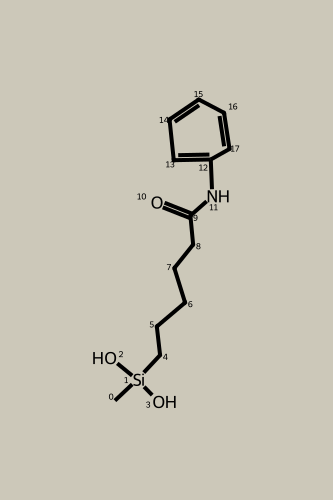 C[Si](O)(O)CCCCCC(=O)Nc1ccccc1